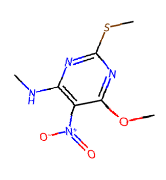 CNc1nc(SC)nc(OC)c1[N+](=O)[O-]